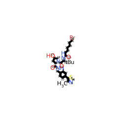 Cc1ncsc1-c1ccc(CNC(=O)[C@@H]2C[C@@H](O)CN2C(=O)C(NC(=O)CCCCCCBr)C(C)(C)C)cc1